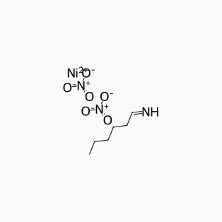 CCCCCC=N.O=[N+]([O-])[O-].O=[N+]([O-])[O-].[Ni+2]